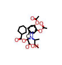 CCC(C)N[C@@](Cc1ccc(OC(C)=O)c(OC(C)=O)c1)(OC(=O)C1CCCCC1)C(=O)O